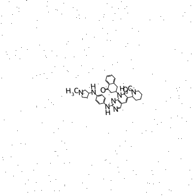 CN1CCC(Nc2ccc(Nc3ncc4cc(C5CCCCN5C)c(=O)n(C5CC(=O)c6ccccc6C5)c4n3)cc2)C1